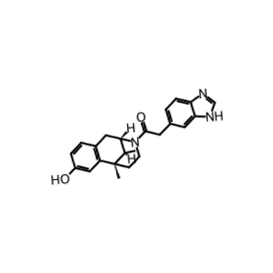 C[C@@H]1[C@@H]2Cc3ccc(O)cc3[C@@]1(C)CCN2C(=O)Cc1ccc2nc[nH]c2c1